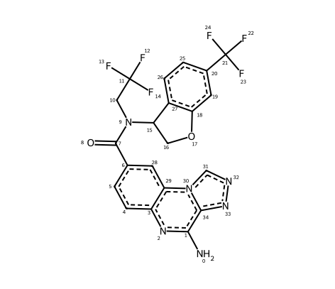 Nc1nc2ccc(C(=O)N(CC(F)(F)F)C3COc4cc(C(F)(F)F)ccc43)cc2n2cnnc12